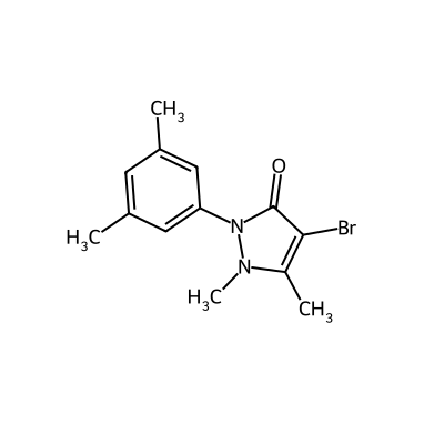 Cc1cc(C)cc(-n2c(=O)c(Br)c(C)n2C)c1